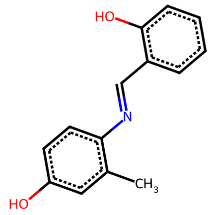 Cc1cc(O)ccc1N=Cc1ccccc1O